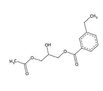 CCc1cccc(C(=O)OCC(O)COC(C)=O)c1